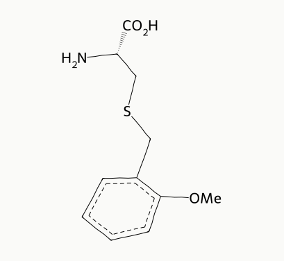 COc1ccccc1CSC[C@H](N)C(=O)O